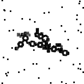 CC1(C)CCC(CN2CCN(c3ccc(C(=O)NS(=O)(=O)c4ccc(NCC5CCOCC5)c([N+](=O)[O-])c4)c(N4C(=O)OCCc5nc6[nH]ccc6cc54)c3)CC2)=C(c2ccc(Cl)cc2)C1